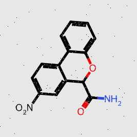 NC(=O)C1Oc2ccccc2-c2ccc([N+](=O)[O-])cc21